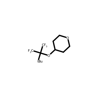 CC(C)(C)C(OC1CCOCC1)(C(F)(F)F)C(F)(F)F